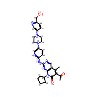 CC(=O)c1c(C)c2cnc(Nc3ccc(N4CCN(c5ccc(CO)nc5)CC4)cn3)nc2n(C2CCCC2)c1=O